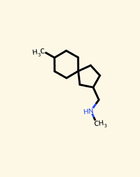 CNCC1CCC2(CCC(C)CC2)C1